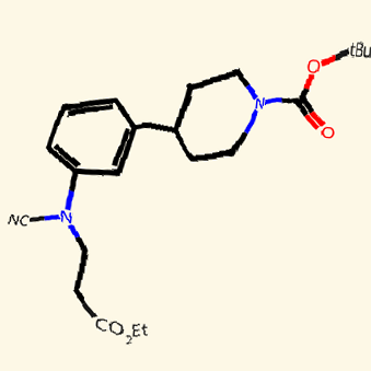 CCOC(=O)CCN(C#N)c1cccc(C2CCN(C(=O)OC(C)(C)C)CC2)c1